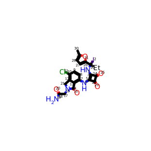 CCC(I)(Nc1c(Nc2ccc(Cl)c3c2C(=O)N(CC(N)=O)C3)c(=O)c1=O)c1ccc(C)o1